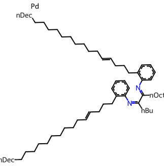 CCCCCCCCCCCCCCCCCCCCC=CCCCc1ccccc1N=C(CCCC)C(CCCCCCCC)=Nc1ccccc1CCCC=CCCCCCCCCCCCCCCCCCCCC.[Pd]